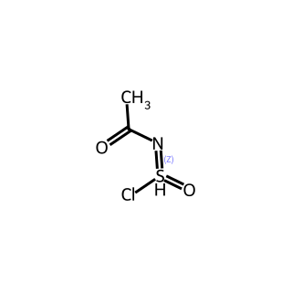 CC(=O)/N=[SH](=O)\Cl